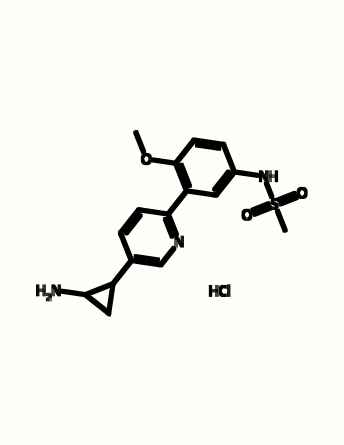 COc1ccc(NS(C)(=O)=O)cc1-c1ccc(C2CC2N)cn1.Cl